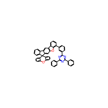 c1ccc(-c2nc(-c3ccccc3)nc(-c3cccc(-c4cccc5c4oc4cc6c(cc45)-c4ccccc4C64c5ccccc5Oc5ccccc54)c3)n2)cc1